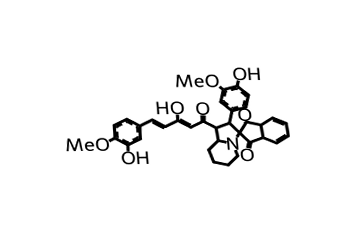 COc1ccc(/C=C/C(O)=C/C(=O)C2C3CCCCN3C3(C(=O)C4C=CC=CC4C3=O)C2c2ccc(O)c(OC)c2)cc1O